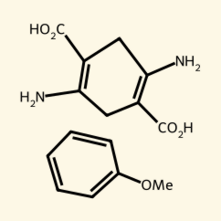 COc1ccccc1.NC1=C(C(=O)O)CC(N)=C(C(=O)O)C1